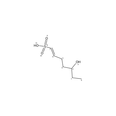 CCC(O)CC/C=C/S(=O)(=O)O